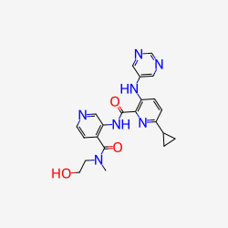 CN(CCO)C(=O)c1ccncc1NC(=O)c1nc(C2CC2)ccc1Nc1cncnc1